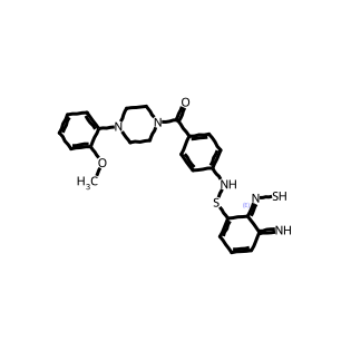 COc1ccccc1N1CCN(C(=O)c2ccc(NSC3=CC=CC(=N)/C3=N\S)cc2)CC1